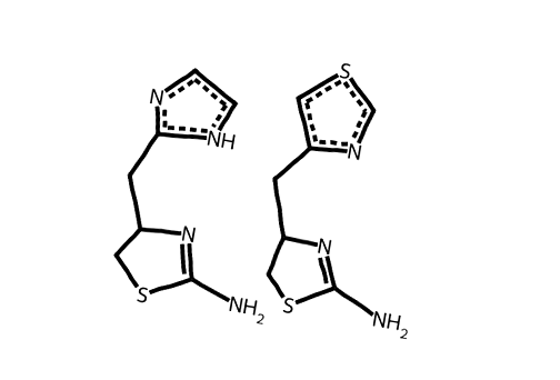 NC1=NC(Cc2cscn2)CS1.NC1=NC(Cc2ncc[nH]2)CS1